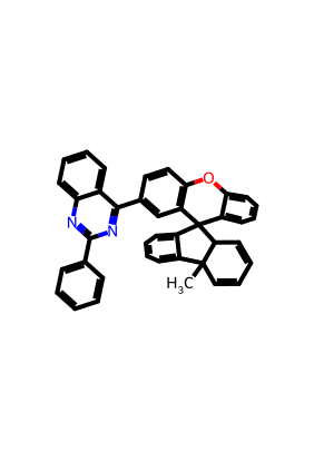 CC12C=CC=CC1C1(c3ccccc3Oc3ccc(-c4nc(-c5ccccc5)nc5ccccc45)cc31)c1ccccc12